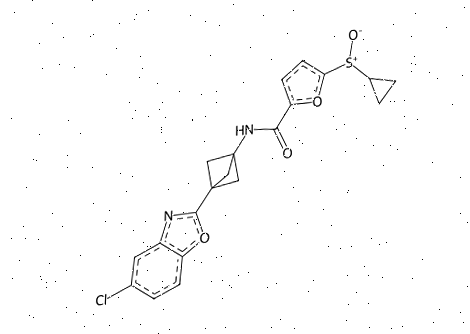 O=C(NC12CC(c3nc4cc(Cl)ccc4o3)(C1)C2)c1ccc([S+]([O-])C2CC2)o1